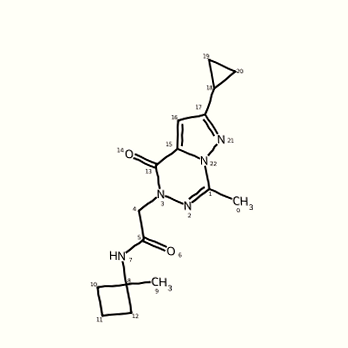 Cc1nn(CC(=O)NC2(C)CCC2)c(=O)c2cc(C3CC3)nn12